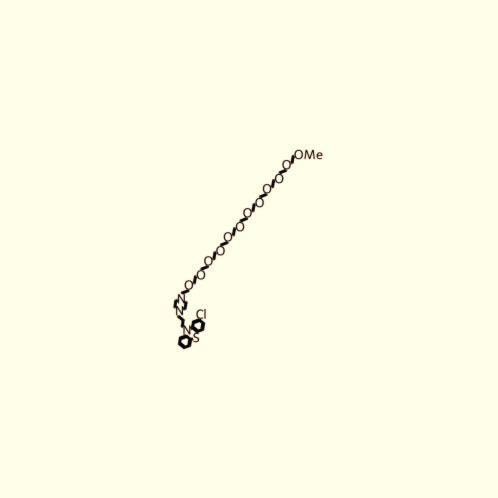 COCCOCCOCCOCCOCCOCCOCCOCCOCCOCCOCCOCCN1CCN(CCCN2c3ccccc3Sc3ccc(Cl)cc32)CC1